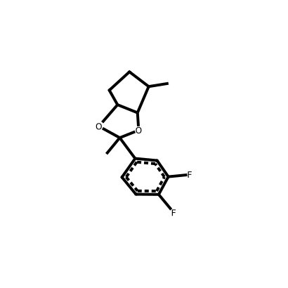 CC1CCC2OC(C)(c3ccc(F)c(F)c3)OC12